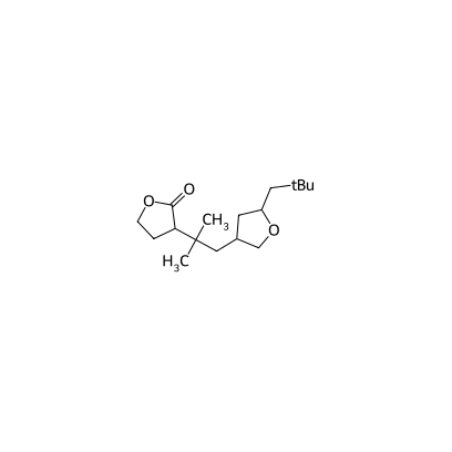 CC(C)(C)CC1CC(CC(C)(C)C2CCOC2=O)CO1